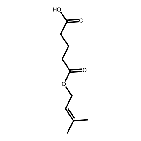 CC(C)=CCOC(=O)CCCC(=O)O